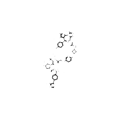 C=C(N[C@@H](C)c1ccc(-c2scnc2C)cc1)[C@@H]1C[C@@H](O)CN1C(=O)[C@@H](NC(=O)COc1ccc(O[C@H]2C[C@H](NC(=O)C[C@@H]3N=C(c4ccc(Cl)cc4)c4c(sc(C)c4C)-n4c(C)nnc43)C2)nc1)C(C)(C)C